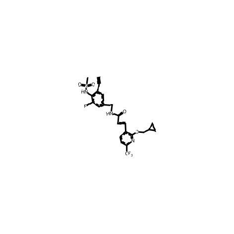 C#Cc1cc(CNC(=O)C=Cc2ccc(C(F)(F)F)nc2OCC2CC2)cc(F)c1NS(C)(=O)=O